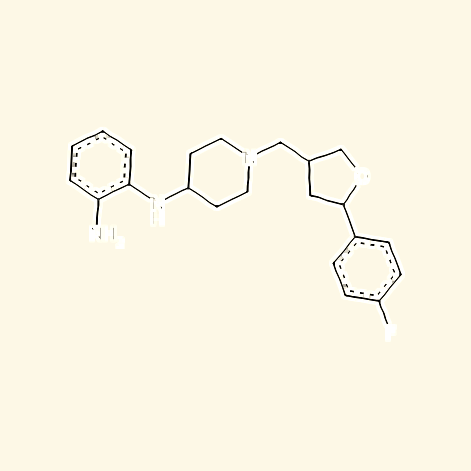 Nc1ccccc1NC1CCN(CC2COC(c3ccc(F)cc3)C2)CC1